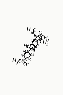 CCN1C(=O)C(C)(C)c2cc3nc(-c4ccc([S+](C)[O-])cc4)[nH]c3cc21